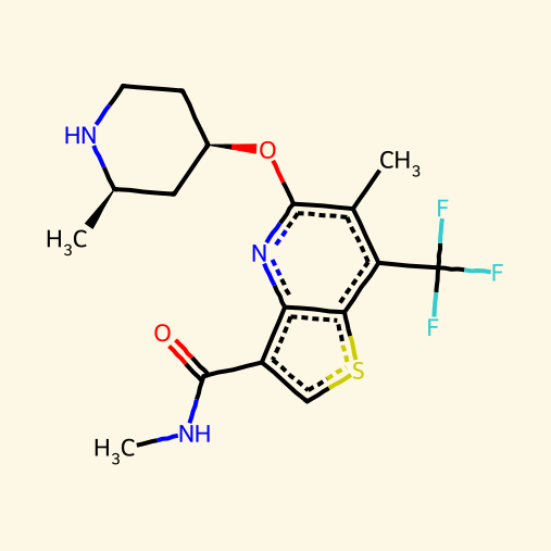 CNC(=O)c1csc2c(C(F)(F)F)c(C)c(O[C@@H]3CCN[C@H](C)C3)nc12